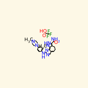 CN1CCN(c2ccc(Nc3ncc4c(n3)=C3C(=C(C(N)=O)NN3C)CCC=4)cc2)CC1.O=C(O)C(F)(F)F